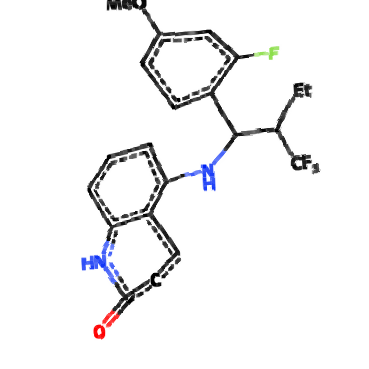 CCC(C(Nc1cccc2[nH]c(=O)ccc12)c1ccc(OC)cc1F)C(F)(F)F